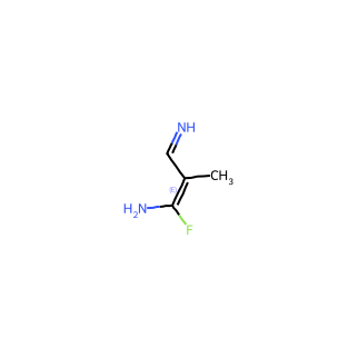 C/C(C=N)=C(/N)F